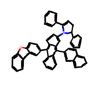 C1=C(c2ccccc2)N(c2ccc3c(-c4ccc5oc6ccccc6c5c4)c4ccccc4c(-c4ccc5ccccc5c4)c3c2)C(c2ccccc2)C1